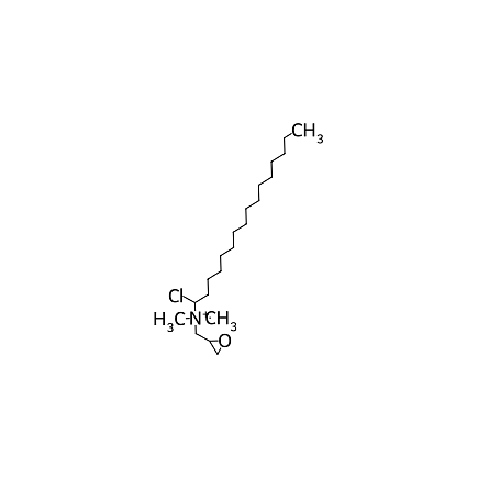 CCCCCCCCCCCCCCCC(Cl)[N+](C)(C)CC1CO1